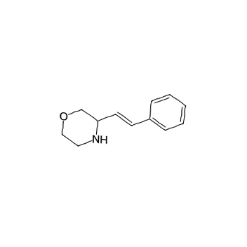 C(=CC1COCCN1)c1ccccc1